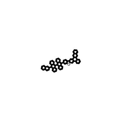 c1ccc2cc(-c3c4ccccc4c(-c4c5ccccc5c(-c5ccc6c(c5)oc5cc7c8ccccc8c8cc9ccccc9cc8c7cc56)c5ccccc45)c4ccccc34)ccc2c1